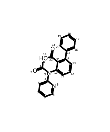 CC(=O)N(c1ccccn1)c1cccc(-c2ccccc2)c1C(=O)O